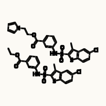 CCOC(=O)c1cccc(NS(=O)(=O)c2sc3ccc(Cl)cc3c2C)c1.Cc1c(S(=O)(=O)Nc2cccc(C(=O)OCCn3cccc3)c2)sc2ccc(Cl)cc12